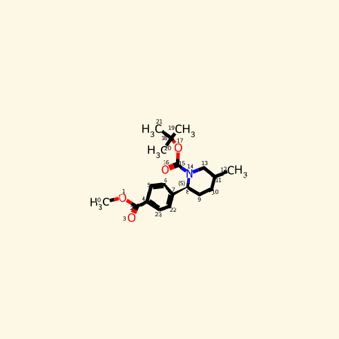 COC(=O)c1ccc([C@@H]2CCC(C)CN2C(=O)OC(C)(C)C)cc1